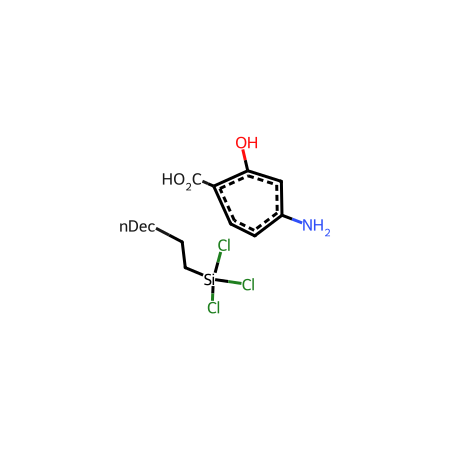 CCCCCCCCCCCC[Si](Cl)(Cl)Cl.Nc1ccc(C(=O)O)c(O)c1